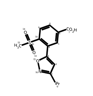 CC(C)c1cc(-c2cc(C(=O)O)ccc2S(C)(=O)=O)on1